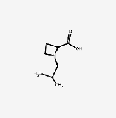 CC(C)CN1CCC1C(=O)O